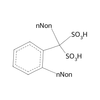 CCCCCCCCCc1ccccc1C(CCCCCCCCC)(S(=O)(=O)O)S(=O)(=O)O